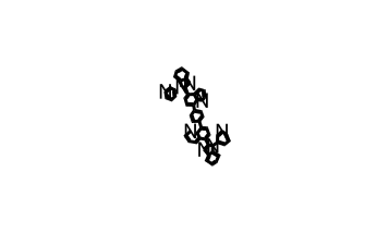 c1cncc(-n2c(-c3ccc(-c4ccc(-c5ccc(-c6nc7ccccc7n6-c6cccnc6)c6cccnc56)cc4)c4ncccc34)nc3ccccc32)c1